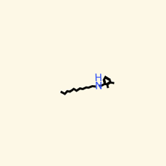 CCCCCCCCCCCCNCc1cccc(C)c1C